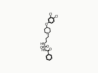 O=C(NS(=O)(=O)NCCCN1CCC(Oc2ccc(Cl)c(Cl)c2)CC1)c1ccccc1